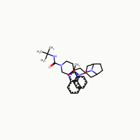 Cc1nc2ccccc2n1C1CC2CCC(C1)N2CCC1(c2ccccc2)CCN(C(=O)NC(C)(C)C)CC1